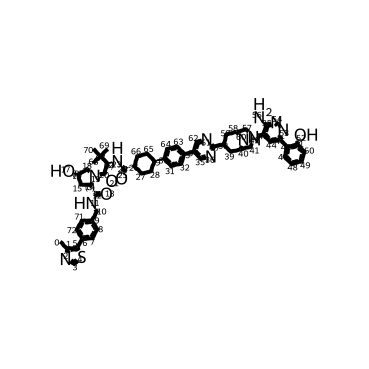 Cc1ncsc1-c1ccc(CNC(=O)[C@@H]2C[C@@H](O)CN2C(=O)[C@@H](NC(=O)[C@H]2CC[C@H](c3ccc(-c4cnc(C5CC6CN(c7cc(-c8ccccc8O)nnc7N)CC(C5)N6)nc4)cc3)CC2)C(C)(C)C)cc1